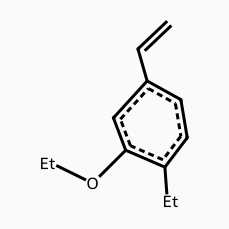 C=Cc1ccc(CC)c(OCC)c1